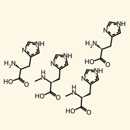 CN[C@@H](Cc1c[nH]cn1)C(=O)O.CN[C@@H](Cc1c[nH]cn1)C(=O)O.N[C@@H](Cc1c[nH]cn1)C(=O)O.N[C@@H](Cc1c[nH]cn1)C(=O)O